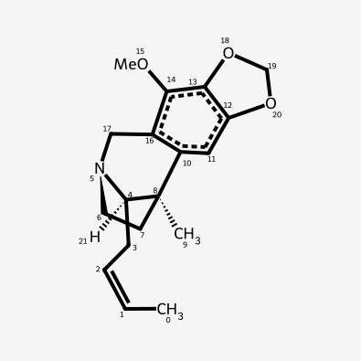 C/C=C\C[C@H]1[N@@]2CC[C@]1(C)c1cc3c(c(OC)c1C2)OCO3